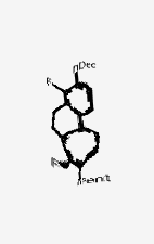 CCCCCCCCCCc1ccc2c(c1F)CCc1c-2ccc(CCCCC)c1F